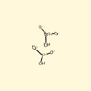 [O-][Br+2]([O-])O.[O-][I+2]([O-])O